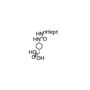 CCCCCCCNC(=O)Nc1ccc(CP(=O)(O)O)cc1